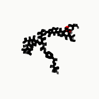 CC[C@H](C)[C@@H]([C@@H](CC(N)=O)OC)N(C)C(=O)[C@@H](NC(=O)[C@H](C(C)C)N(C)N1C(=O)CC(SCC(NC(=O)C(CSC2CC(=O)N(N(C)[C@H](C(=O)N[C@H](C(=O)NC)C(C)C)C(C)C)C2=O)NC(=O)OCc2ccc(NCONC(N)=O)cc2)C(=O)O)C1=O)C(C)C